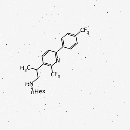 CCCCCCNCC(C)c1ccc(-c2ccc(C(F)(F)F)cc2)nc1C(F)(F)F